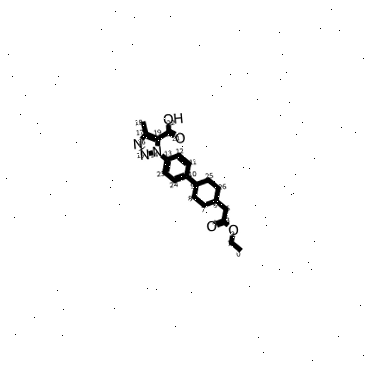 CCOC(=O)CC1CCC(c2ccc(-n3nnc(C)c3C(=O)O)cc2)CC1